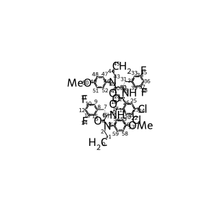 C=CCN(C(=O)[C@H](Cc1cc(F)cc(F)c1)NC(=O)c1cc(Cl)c(Cl)cc1C(=O)N[C@@H](Cc1cc(F)cc(F)c1)C(=O)N(CC=C)c1ccc(OC)cc1)c1ccc(OC)cc1